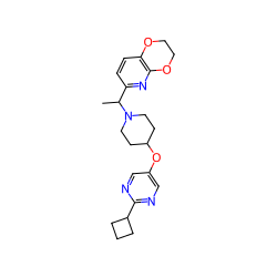 CC(c1ccc2c(n1)OCCO2)N1CCC(Oc2cnc(C3CCC3)nc2)CC1